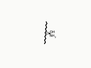 CCCCCCCCCCCCC.NC(=O)O